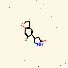 O=C1CC(c2cc3c(cc2F)OCC3)CN1